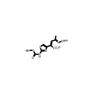 CON=C(C)C=C(C(=O)O)c1csc(NC(=O)OC(C)(C)C)n1